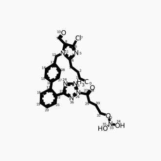 CCCCc1nc(Cl)c(C=O)n1Cc1ccc(-c2ccccc2-c2nnn(C(=O)CCCON(O)O)n2)cc1